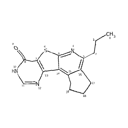 CCCc1nc2sc3c(=O)[nH]cnc3c2c2c1CCC2